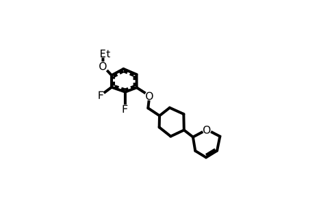 CCOc1ccc(OCC2CCC(C3CC=CCO3)CC2)c(F)c1F